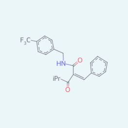 CC(C)C(=O)C(=Cc1ccccc1)C(=O)NCc1ccc(C(F)(F)F)cc1